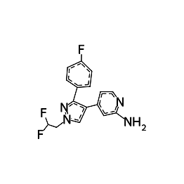 Nc1cc(-c2cn(CC(F)F)nc2-c2ccc(F)cc2)ccn1